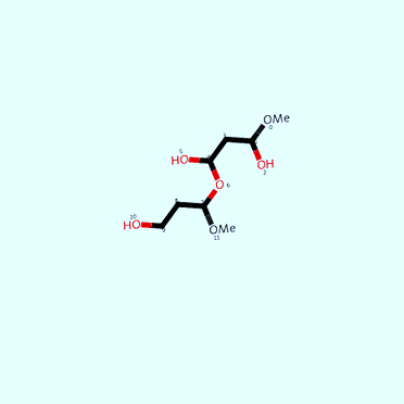 COC(O)CC(O)OC(CCO)OC